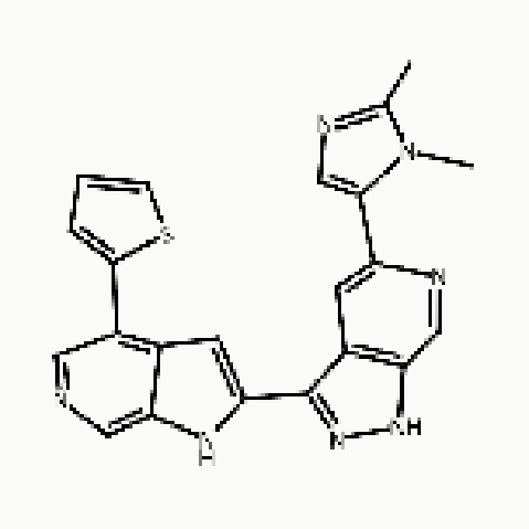 Cc1ncc(-c2cc3c(-c4cc5c(-c6cccs6)cncc5[nH]4)n[nH]c3cn2)n1C